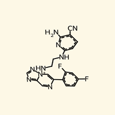 N#Cc1ccc(NCCN[N+]23C=C(c4ccc(F)cc4F)N=CC2=NC=N3)nc1N